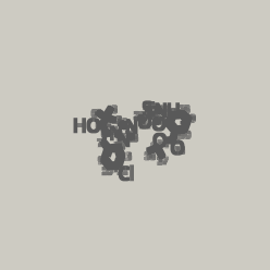 CC(C)(C)[C@H](O)[C@H](Cc1ccc(Cl)cc1)n1cncn1.COP(N)(=S)Oc1ccccc1C(=O)OC(C)C